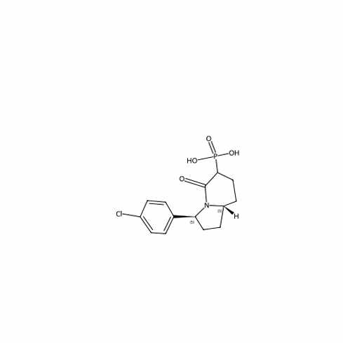 O=C1C(P(=O)(O)O)CC[C@@H]2CC[C@@H](c3ccc(Cl)cc3)N12